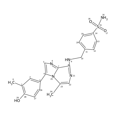 Cc1cc(-c2cnc3c(NCc4ccc(S(N)(=O)=O)cc4)ncc(C)n23)ccc1O